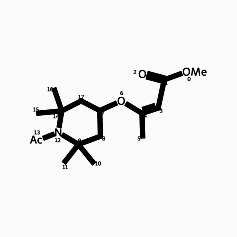 COC(=O)/C=C(/C)OC1CC(C)(C)N(C(C)=O)C(C)(C)C1